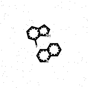 Fc1cccc2cc[nH]c12.c1ccc2ncccc2c1